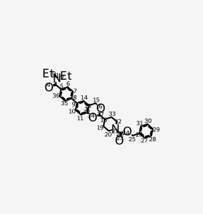 CCN(CC)C(=O)c1ccc(-c2ccc3c(c2)COC(C2CCN(C(=O)OCc4ccccc4)CC2)O3)cc1